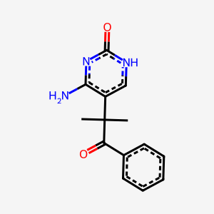 CC(C)(C(=O)c1ccccc1)c1c[nH]c(=O)nc1N